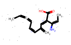 C=C(/C=C\C=C=CC)/C=C(C(=O)O)\C(N)=C/C